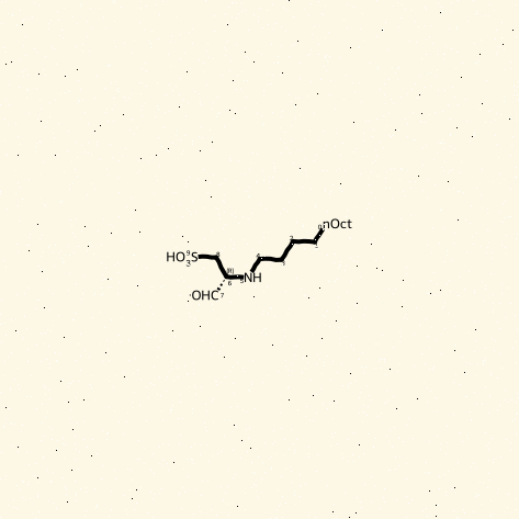 CCCCCCCCCCCCN[C@H]([C]=O)CS(=O)(=O)O